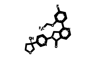 O=C1c2ccnc(-c3ccc(F)cc3OCC(F)(F)F)c2CN1c1ccc([C@]2(O)CCOC2)cn1